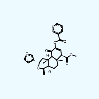 C=C1O[C@H](c2ccoc2)C[C@]2(C)[C@H]3C(=O)C(OC(=O)c4cccnc4)=C[C@@H](C(=O)OC)[C@]3(C)CC[C@@H]12